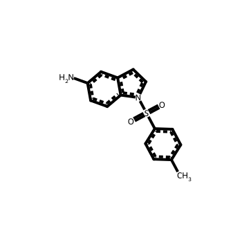 Cc1ccc(S(=O)(=O)n2ccc3cc(N)ccc32)cc1